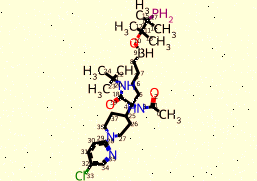 CC(=O)NC(CCCCBOC(C)(C)C(C)(C)P)(C(=O)NC(C)(C)C)C1CCN(c2ccc(Cl)cn2)CC1